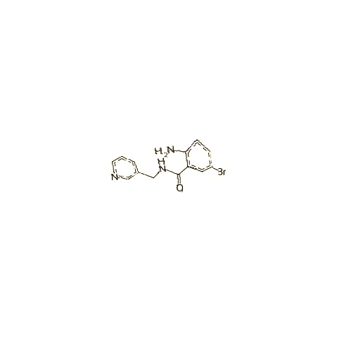 Nc1ccc(Br)cc1C(=O)NCc1cccnc1